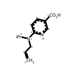 C=CCN(c1ccc(C(=O)O)cn1)C(C)C